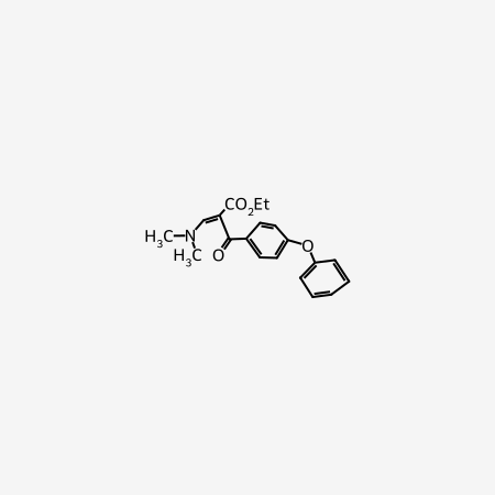 CCOC(=O)/C(=C/N(C)C)C(=O)c1ccc(Oc2ccccc2)cc1